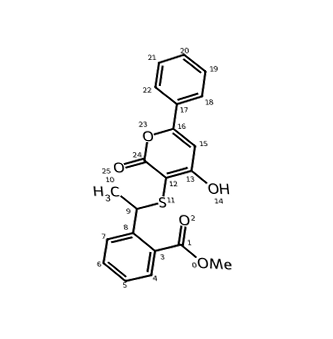 COC(=O)c1ccccc1C(C)Sc1c(O)cc(-c2ccccc2)oc1=O